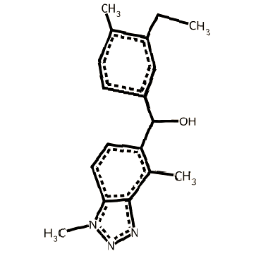 CCc1cc(C(O)c2ccc3c(nnn3C)c2C)ccc1C